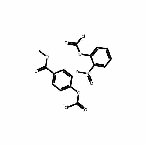 COC(=O)c1ccc(OC(=O)Cl)cc1.O=C(Cl)Oc1ccccc1[N+](=O)[O-]